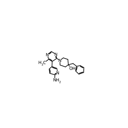 Cc1ncnc(N2CCC(O)(Cc3ccccc3)CC2)c1-c1ccc(N)nc1